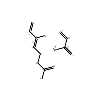 C=C/C(C)=C/CCC(=C)C.C=CC(=C)Br